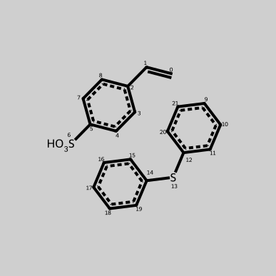 C=Cc1ccc(S(=O)(=O)O)cc1.c1ccc(Sc2ccccc2)cc1